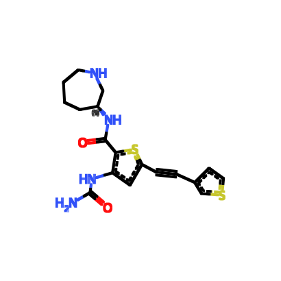 NC(=O)Nc1cc(C#Cc2ccsc2)sc1C(=O)N[C@H]1CCCCNC1